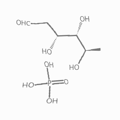 C[C@@H](O)[C@@H](O)[C@H](O)CC=O.O=P(O)(O)O